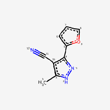 Cc1[nH]nc(-c2ccco2)c1C#N